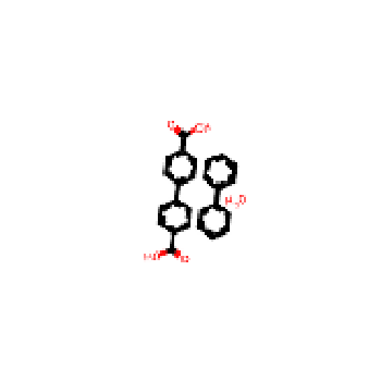 O.O=C(O)c1ccc(-c2ccc(C(=O)O)cc2)cc1.c1ccc(-c2ccccc2)cc1